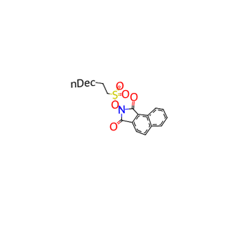 CCCCCCCCCCCCS(=O)(=O)ON1C(=O)c2ccc3ccccc3c2C1=O